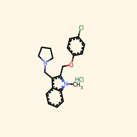 Cl.Cn1c(COc2ccc(Cl)cc2)c(CN2CCCC2)c2ccccc21